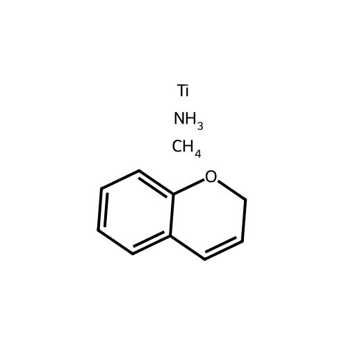 C.C1=Cc2ccccc2OC1.N.[Ti]